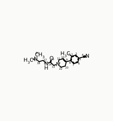 Cc1cc(C#N)ccc1C1=CCN(CC(=O)NCCN(C)C)CC1